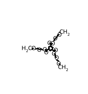 C=COCCOCCOC(=O)c1cc(C(=O)OCCOCCOC=C)cc(C(=O)OCCOCCOC=C)c1